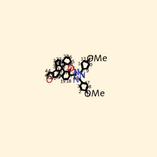 COc1ccc(-c2nc(-c3ccc(OC)cc3)nc(-c3cccc4c3Oc3ccccc3C43c4ccccc4-c4c3ccc3occc43)n2)cc1